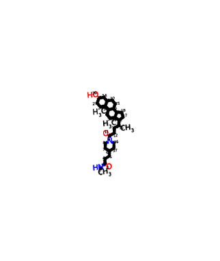 CNC(=O)CCC1CCN(C(=O)CC[C@@H](C)C2CCC3C4CCC5CC(O)CC[C@]5(C)C4CC[C@@]32C)CC1